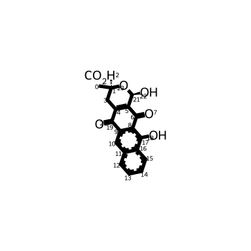 C[C@]1(C(=O)O)CC2=C(C(=O)c3c(cc4ccccc4c3O)C2=O)[C@H](O)O1